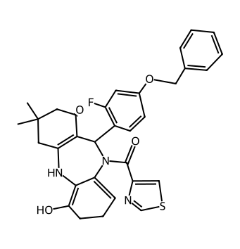 CC1(C)CC(=O)C2=C(C1)NC1=C(O)CCC=C1N(C(=O)c1cscn1)C2c1ccc(OCc2ccccc2)cc1F